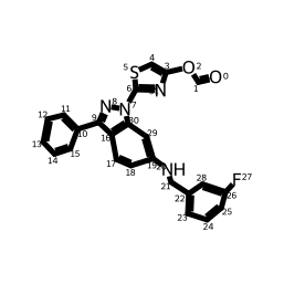 O=COc1csc(-n2nc(-c3ccccc3)c3ccc(NCc4cccc(F)c4)cc32)n1